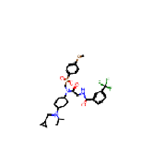 CSc1ccc(S(=O)(=O)CN(C(=O)CNC(=O)c2cccc(C(F)(F)F)c2)C2CCC(N(CC3CC3)C(C)C)CC2)cc1